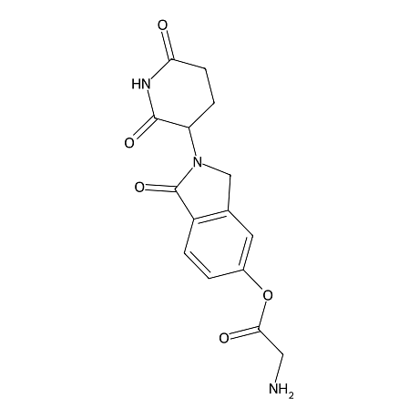 NCC(=O)Oc1ccc2c(c1)CN(C1CCC(=O)NC1=O)C2=O